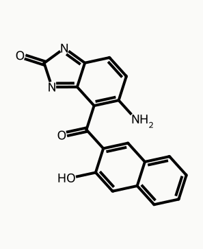 Nc1ccc2c(c1C(=O)c1cc3ccccc3cc1O)=NC(=O)N=2